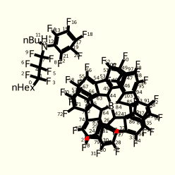 CCCCCCC(F)(F)C(F)(F)C(F)(F)[NH+](CCCC)c1c(F)c(F)c(F)c(F)c1F.Fc1cc2c(c(F)c1F)-c1c(F)c(F)c(F)c(F)c1C2[B-](C1c2cc(F)c(F)c(F)c2-c2c(F)c(F)c(F)c(F)c21)(C1c2cc(F)c(F)c(F)c2-c2c(F)c(F)c(F)c(F)c21)C1c2cc(F)c(F)c(F)c2-c2c(F)c(F)c(F)c(F)c21